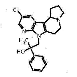 CC(O)(Cn1c2c(c3cc(Cl)cnc31)C1CCCN1CC2)c1ccccc1